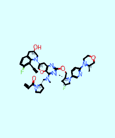 C#Cc1c(F)ccc2c1N([C@H]1COc3c(nc(OC[C@]4(C)C[C@@H](F)CN4c4ccc(N5CCOC[C@H]5C)nc4)nc3N(C)C[C@@H]3CCCN3C(=O)C=C)C1)C[C@H](O)C2